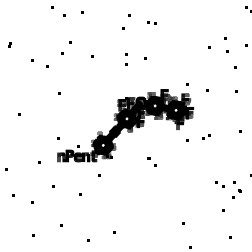 CCCCCc1ccc(C#Cc2cc(F)c(C(F)(F)Oc3ccc(-c4cc(F)c(F)c(F)c4)c(F)c3)c(F)c2)cc1